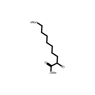 CCCCCCCCCCCCCCCCC(CC)C(=O)OC